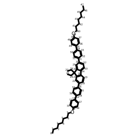 CCCCCCCCOc1ccc(-c2ccc(-c3ccc4c(c3)C(CC)(CC)c3cc(-c5ccc(-c6ccc(OCCCCCCCC)cc6)cc5)ccc3-4)cc2)cc1